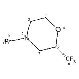 CC(C)N1CCO[C@H](C(F)(F)F)C1